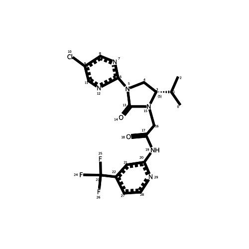 CC(C)[C@H]1CN(c2ncc(Cl)cn2)C(=O)N1CC(=O)Nc1cc(C(F)(F)F)ccn1